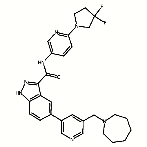 O=C(Nc1ccc(N2CCC(F)(F)C2)nc1)c1n[nH]c2ccc(-c3cncc(CN4CCCCCC4)c3)cc12